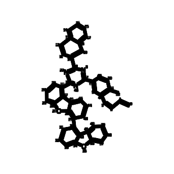 C=C/C=C\c1cc(-c2nc(-c3ccc4ccccc4c3)nc(-c3cccc4oc5c(-c6cccc7oc8ccccc8c67)cccc5c34)n2)ccc1C